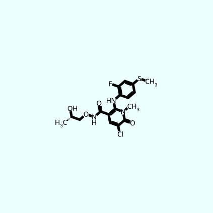 CSc1ccc(Nc2c(C(=O)NOC[C@H](C)O)cc(Cl)c(=O)n2C)c(F)c1